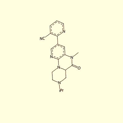 CC(C)N1CCN2c3ncc(-c4ncccc4C#N)cc3N(C)C(=O)C2C1